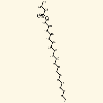 CCCCCCCCCCCCCCCCCCCCOC(=O)CCC